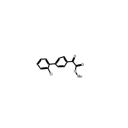 CC(C)(C)OC(=O)C(=O)c1ccc(-c2ccccc2Cl)cc1